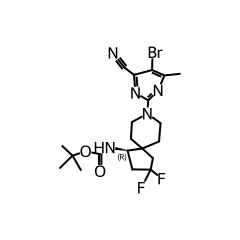 Cc1nc(N2CCC3(CC2)CC(F)(F)C[C@H]3NC(=O)OC(C)(C)C)nc(C#N)c1Br